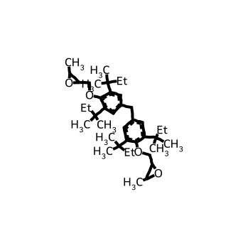 CCC(C)(C)c1cc(Cc2cc(C(C)(C)CC)c(OCC3OC3C)c(C(C)(C)CC)c2)cc(C(C)(C)CC)c1OCC1OC1C